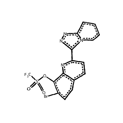 O=S(=O)(Oc1c(Br)ccc2ccc(-c3nnc4ccccn34)nc12)C(F)(F)F